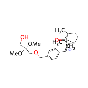 COC(CO)(COCc1ccc(/C=C2\C(=O)C3(C)CCC2C3(C)C)cc1)OC